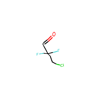 O=CC(F)(F)CCl